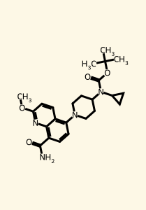 COc1ccc2c(N3CCC(N(C(=O)OC(C)(C)C)C4CC4)CC3)ccc(C(N)=O)c2n1